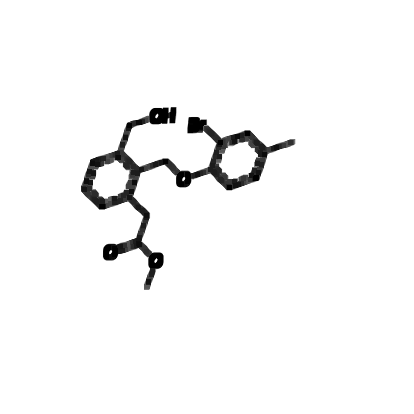 COC(=O)Cc1cccc(CO)c1COc1ccc(C)cc1Br